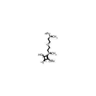 CCCN(C)CCOCCN(C)C1=C(C(C)(C)C)C(=S)C1O